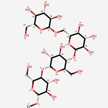 CCO[C@@H]1O[C@H](CO)[C@@H](O[C@H]2O[C@H](CO)[C@@H](O[C@H]3O[C@H](CO[C@H]4O[C@H](CO)[C@@H](O)[C@H](O)[C@H]4O)[C@@H](O)[C@H](O)[C@H]3O)[C@H](O)[C@H]2O)[C@H](O)[C@H]1O